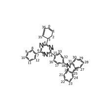 C1=CCC(c2nc(-c3ccccc3)nc(-c3ccc(-n4c5ccccc5c5ccccc54)cc3)n2)C=C1